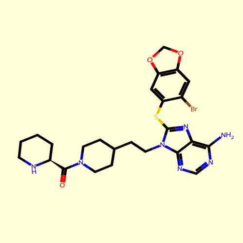 Nc1ncnc2c1nc(Sc1cc3c(cc1Br)OCO3)n2CCC1CCN(C(=O)[C@@H]2CCCCN2)CC1